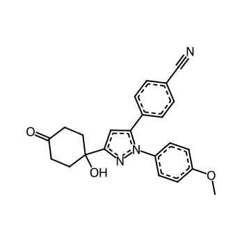 COc1ccc(-n2nc(C3(O)CCC(=O)CC3)cc2-c2ccc(C#N)cc2)cc1